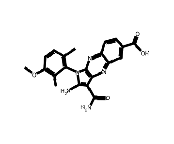 COc1ccc(C)c(-n2c(N)c(C(N)=O)c3nc4cc(C(=O)O)ccc4nc32)c1C